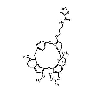 COc1cc2c3cc1Oc1c(OC)c(OC)cc4c1[C@@H](Cc1ccc(OCCCNC(=O)c5cncs5)c(c1)Oc1ccc(cc1)CC3N(C)CC2)N(C)CC4